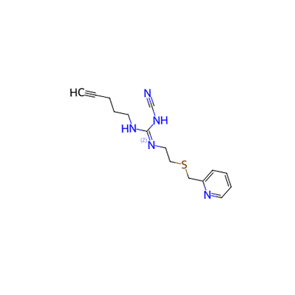 C#CCCCN/C(=N/CCSCc1ccccn1)NC#N